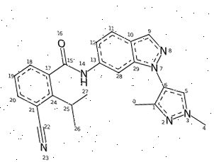 Cc1nn(C)cc1-n1ncc2ccc(NC(=O)c3cccc(C#N)c3C(C)C)cc21